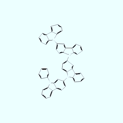 c1ccc(-n2c3ccccc3c3ccc(-n4c5ccccc5c5cc(-n6c7ccccc7c7cc(-n8c9ccccc9c9ccccc98)ccc76)ccc54)cc32)cc1